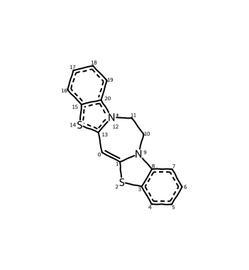 C1=C2Sc3ccccc3N2CC[n+]2c1sc1ccccc12